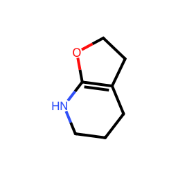 C1CNC2=C(C1)CCO2